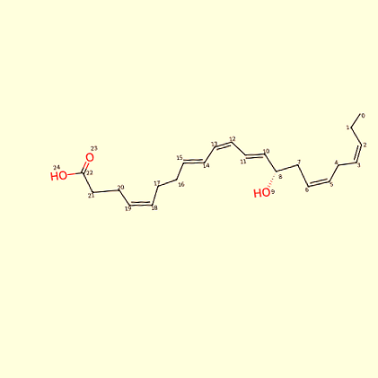 CC/C=C\C/C=C\C[C@H](O)/C=C/C=C\C=C\CC/C=C\CCC(=O)O